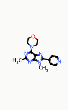 Cc1nc(N2CCOCC2)c2nc(-c3ccncc3)n(C)c2n1